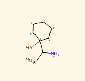 NC(C(=O)O)C1(S)CCCCC1